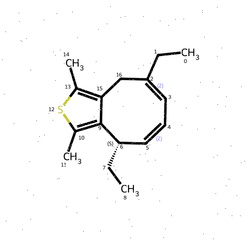 CC/C1=C/C=C\[C@H](CC)c2c(C)sc(C)c2C1